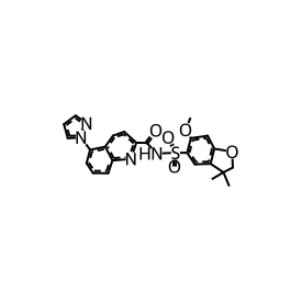 COc1cc2c(cc1S(=O)(=O)NC(=O)c1ccc3c(-n4cccn4)cccc3n1)C(C)(C)CO2